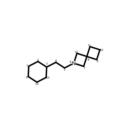 C1CCC(CCN2CC3(CCC3)C2)CC1